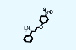 N[C@H](CCOc1ccc([N+](=O)[O-])cc1)c1cc[c]cc1